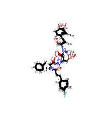 CN(C(=O)C(CO)NC(=O)[C@@H](Cc1ccccc1)NC(=O)CCc1ccc(F)cc1)C([C]=O)Cc1ccc(O)cc1